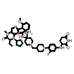 CCC1C(=O)N(C)c2cnc(C3C(OC)=CC=CC3(N)C(=O)NC3(CO)CCN(CC4CCN(c5ccc(NC6CCC(=O)NC6=O)cc5F)CC4)CC3)nc2N1C1CCCC1